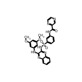 COc1cc(Nc2nc3ccccc3nc2NS(=O)(=O)c2cccc(NC(=O)c3cnccn3)c2)cc(OC)c1